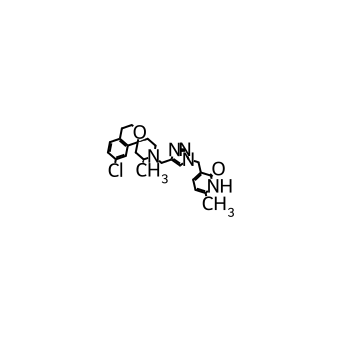 Cc1ccc(Cn2cc(CN3CC[C@]4(C[C@@H]3C)OCCc3ccc(Cl)cc34)nn2)c(=O)[nH]1